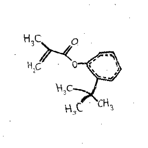 C=C(C)C(=O)Oc1ccccc1C(C)(C)C